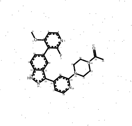 COc1ccnc(F)c1-c1ccc2[nH]nc(-c3ccnc(N4CCN(C(C)=O)CC4)c3)c2c1